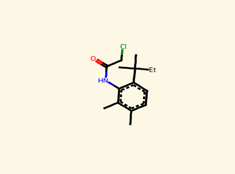 CCC(C)(C)c1ccc(C)c(C)c1NC(=O)CCl